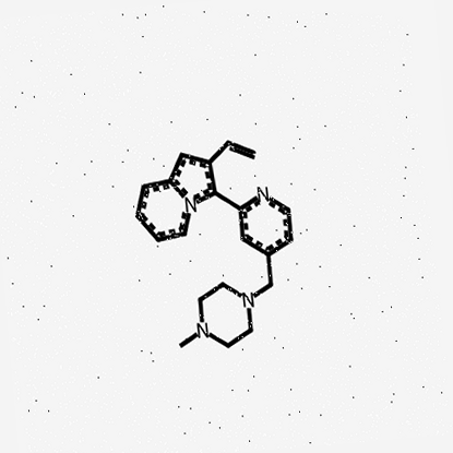 C=Cc1cc2ccccn2c1-c1cc(CN2CCN(C)CC2)ccn1